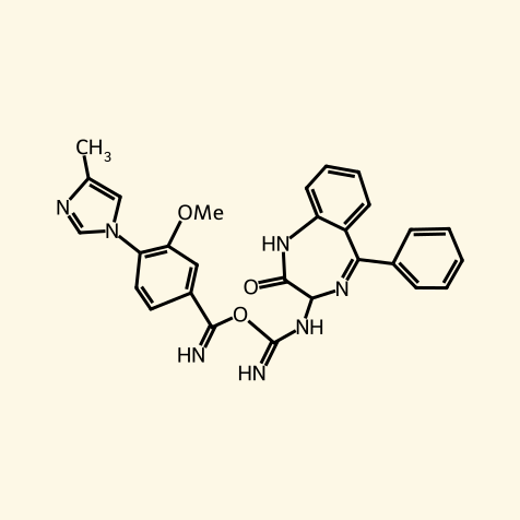 COc1cc(C(=N)OC(=N)NC2N=C(c3ccccc3)c3ccccc3NC2=O)ccc1-n1cnc(C)c1